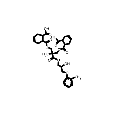 Cc1ccccc1OCC(O)COC(=O)C(C)(COC(=O)C1CC=CCC1C(=O)O)COC(=O)C1CC=CCC1C(=O)O